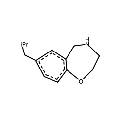 CC(C)Cc1ccc2c(c1)CNCCO2